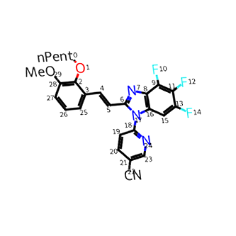 CCCCCOc1c(/C=C/c2nc3c(F)c(F)c(F)cc3n2-c2ccc(C#N)cn2)cccc1OC